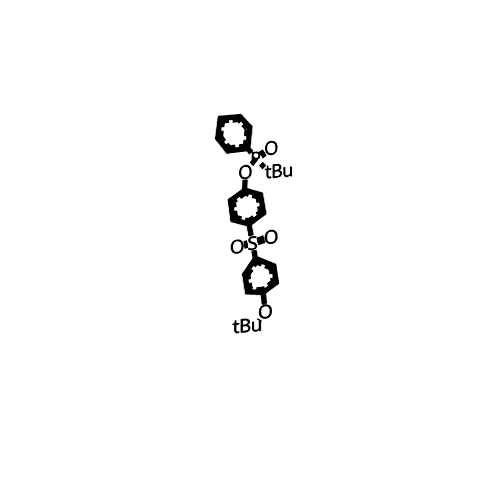 CC(C)(C)Oc1ccc(S(=O)(=O)c2ccc(OP(=O)(c3ccccc3)C(C)(C)C)cc2)cc1